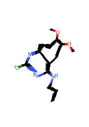 C=CCNc1nc(Cl)nc2cc(OC)c(OC)cc12